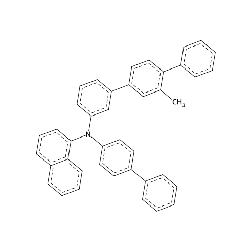 Cc1cc(-c2cccc(N(c3ccc(-c4ccccc4)cc3)c3cccc4ccccc34)c2)ccc1-c1ccccc1